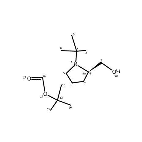 CC(C)(C)N1CCC[C@@H]1CO.CC(C)(C)OC=O